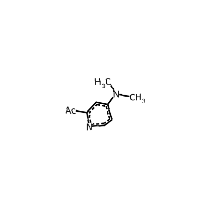 CC(=O)c1cc(N(C)C)ccn1